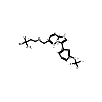 CC(C)(O)CCNCc1ccc2ncc(-c3cccc(OC(F)(F)F)c3)n2n1